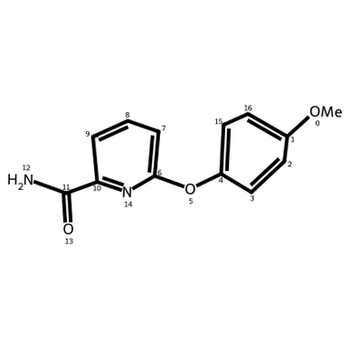 COc1ccc(Oc2cc[c]c(C(N)=O)n2)cc1